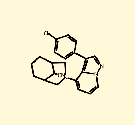 N#CC1C2CCCC1CN(c1cccn3ncc(-c4ccc(Cl)cc4)c13)C2